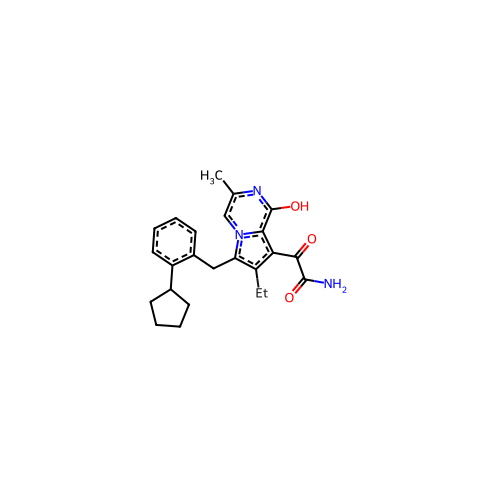 CCc1c(C(=O)C(N)=O)c2c(O)nc(C)cn2c1Cc1ccccc1C1CCCC1